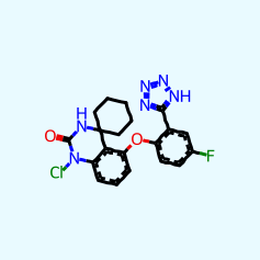 O=C1NC2(CCCCC2)c2c(Oc3ccc(F)cc3-c3nnn[nH]3)cccc2N1Cl